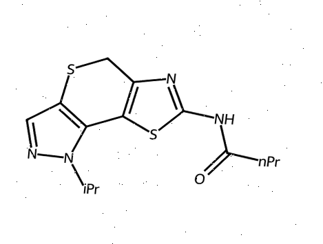 CCCC(=O)Nc1nc2c(s1)-c1c(cnn1C(C)C)SC2